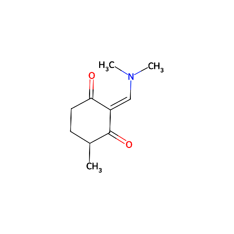 CC1CCC(=O)/C(=C\N(C)C)C1=O